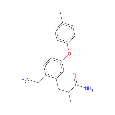 Cc1ccc(Oc2ccc(CN)c(CC(C)C(N)=O)c2)cc1